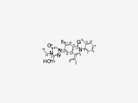 C=C(C)c1cn(-c2ccccc2C)c(=O)c2cc(F)c(N(C)/N=C(/CO)N(C=O)CC)cc12